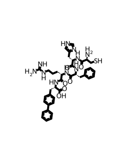 N=C(N)NCCC[C@H](NC(=O)[C@@H](Cc1ccccc1)NC(=O)[C@H](Cc1c[nH]cn1)NC(=O)[C@@H](N)CS)C(=O)N[C@@H](Cc1ccc(-c2ccccc2)cc1)C(=O)O